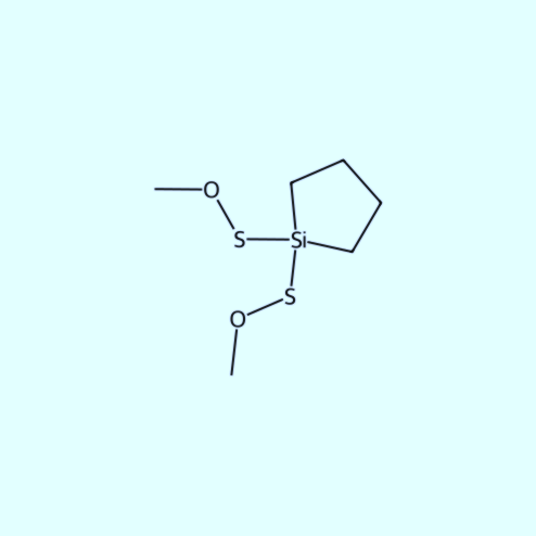 COS[Si]1(SOC)CCCC1